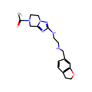 CC(=O)N1CCn2nc(NCCNCc3ccc4c(c3)OCC4)nc2C1